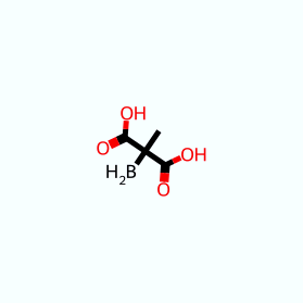 BC(C)(C(=O)O)C(=O)O